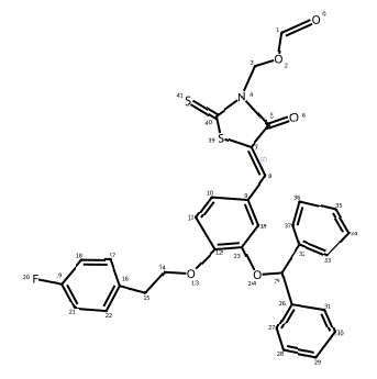 O=COCN1C(=O)/C(=C/c2ccc(OCCc3ccc(F)cc3)c(OC(c3ccccc3)c3ccccc3)c2)SC1=S